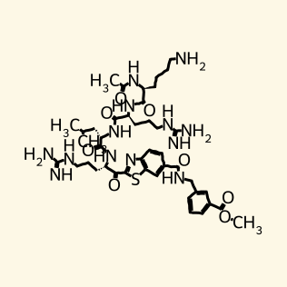 COC(=O)c1cccc(CNC(=O)c2ccc3nc(C(=O)[C@H](CCCNC(=N)N)NC(=O)[C@H](CC(C)C)NC(=O)[C@H](CCCNC(=N)N)NC(=O)[C@H](CCCCN)NC(C)=O)sc3c2)c1